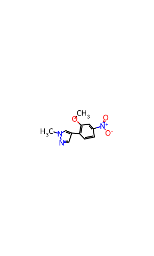 COc1cc([N+](=O)[O-])ccc1-c1cnn(C)c1